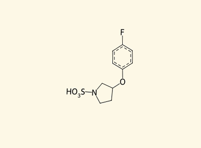 O=S(=O)(O)N1CCC(Oc2ccc(F)cc2)C1